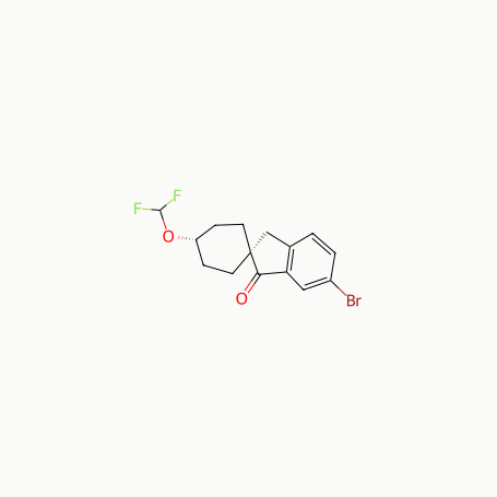 O=C1c2cc(Br)ccc2C[C@]12CC[C@@H](OC(F)F)CC2